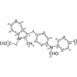 CCOC(=O)Cn1c(C)c(Cc2ccc(N(C=O)c3ccc(Cl)cc3)cc2)c2ccccc21